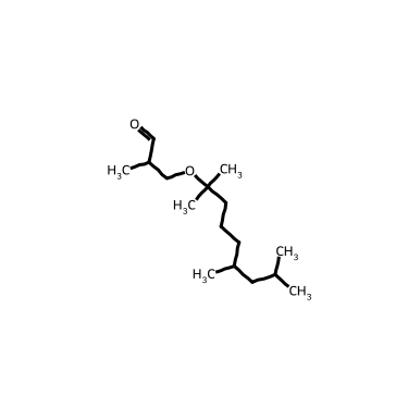 CC(C)CC(C)CCCC(C)(C)OCC(C)C=O